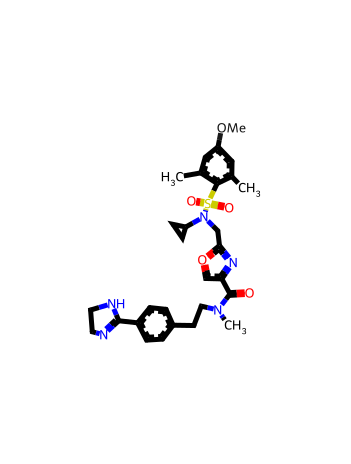 COc1cc(C)c(S(=O)(=O)N(Cc2nc(C(=O)N(C)CCc3ccc(C4=NCCN4)cc3)co2)C2CC2)c(C)c1